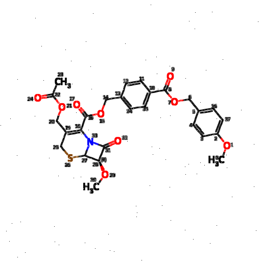 COc1ccc(COC(=O)c2ccc(COC(=O)C3=C(COC(C)=O)CSC4[C@H](OC)C(=O)N34)cc2)cc1